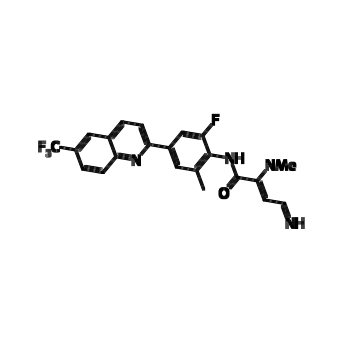 CN/C(=C\C=N)C(=O)Nc1c(C)cc(-c2ccc3cc(C(F)(F)F)ccc3n2)cc1F